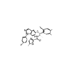 Cc1cnc(C(=O)N[C@@H](C)[C@@H](Oc2ccc3c(cnn3-c3ccc(F)cc3)c2)c2cc(C)c(C)cc2C)s1